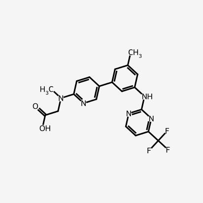 Cc1cc(Nc2nccc(C(F)(F)F)n2)cc(-c2ccc(N(C)CC(=O)O)nc2)c1